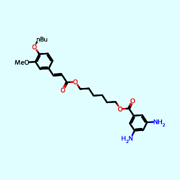 CCCCOc1ccc(/C=C/C(=O)OCCCCCCOC(=O)c2cc(N)cc(N)c2)cc1OC